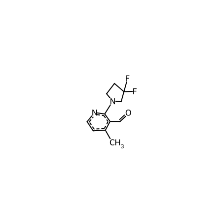 Cc1ccnc(N2CCC(F)(F)C2)c1C=O